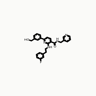 O=C(NCc1cccnc1)c1ccc(-c2cccc(CO)c2)nc1NCCc1cccc(F)c1